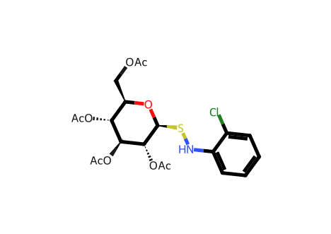 CC(=O)OC[C@H]1O[C@@H](SNc2ccccc2Cl)[C@H](OC(C)=O)[C@@H](OC(C)=O)[C@@H]1OC(C)=O